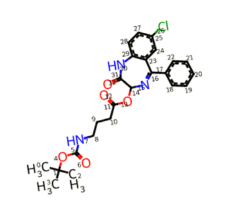 CC(C)(C)OC(=O)NCCCC(=O)OC1N=C(c2ccccc2)c2cc(Cl)ccc2NC1=O